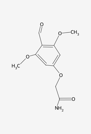 COc1cc(OCC(N)=O)cc(OC)c1C=O